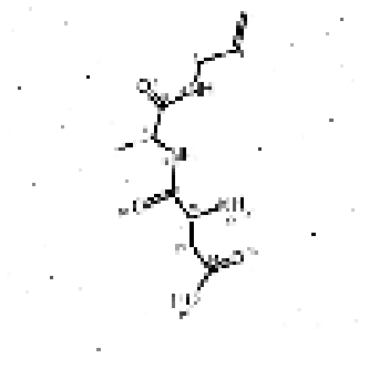 C=CCNC(=O)[C@@H](C)NC(=O)[C@@H](N)CC(=O)O